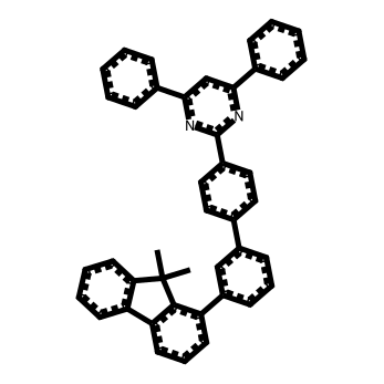 CC1(C)c2ccccc2-c2cccc(-c3cccc(-c4ccc(-c5nc(-c6ccccc6)cc(-c6ccccc6)n5)cc4)c3)c21